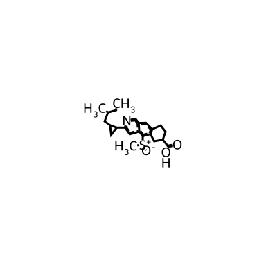 CCC(C)CC1CC1c1cc2c([S+](C)[O-])c3c(cc2cn1)CCC(C(=O)O)C3